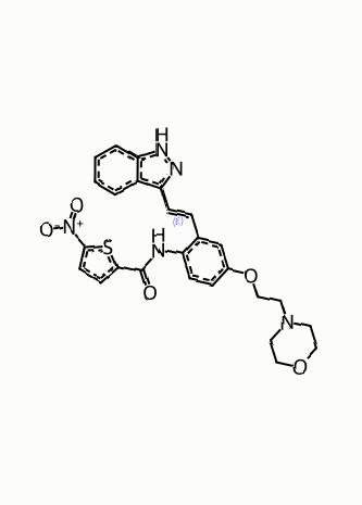 O=C(Nc1ccc(OCCN2CCOCC2)cc1/C=C/c1n[nH]c2ccccc12)c1ccc([N+](=O)[O-])s1